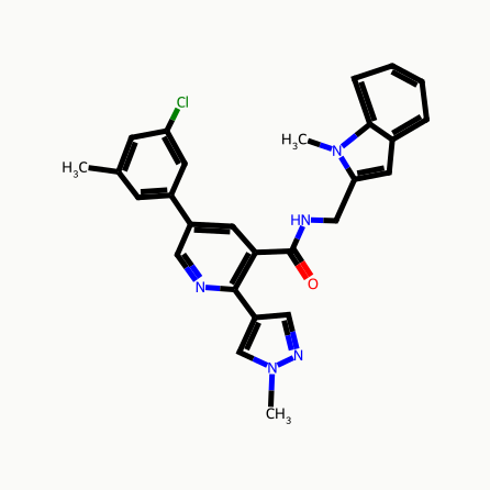 Cc1cc(Cl)cc(-c2cnc(-c3cnn(C)c3)c(C(=O)NCc3cc4ccccc4n3C)c2)c1